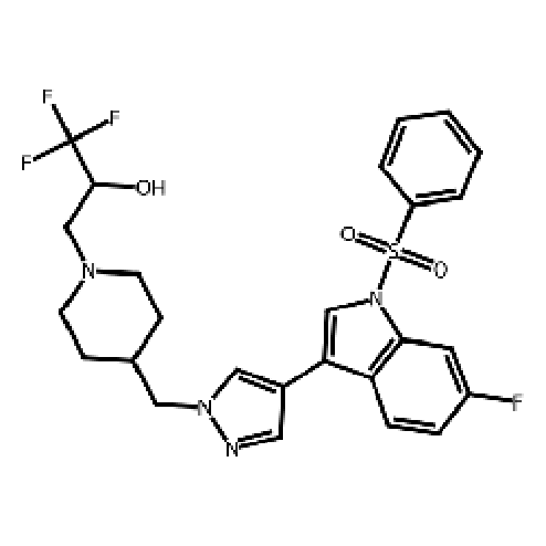 O=S(=O)(c1ccccc1)n1cc(-c2cnn(CC3CCN(CC(O)C(F)(F)F)CC3)c2)c2ccc(F)cc21